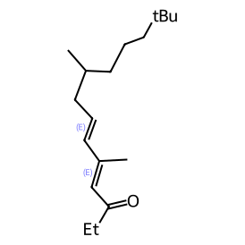 CCC(=O)/C=C(C)/C=C/CC(C)CCCC(C)(C)C